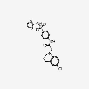 O=C(CN1CCCc2cc(Cl)ccc21)Nc1ccc(S(=O)(=O)Nc2nccs2)cc1